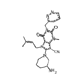 CC(C)=CCn1c(N2CCCC(N)C2)c(C#N)c2c1c(=O)n(Cc1cccnn1)c(=O)n2C